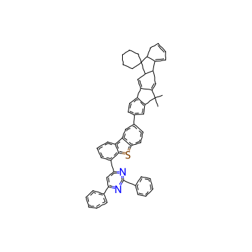 CC1(C)C2=CC3C4=CC=CCC4C4(CCCCC4)C3C=C2c2ccc(-c3ccc4sc5c(-c6cc(-c7ccccc7)nc(-c7ccccc7)n6)cccc5c4c3)cc21